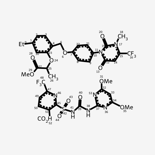 CCc1ccc(COc2ccc(-n3c(=O)cc(C(F)(F)F)n(C)c3=O)cc2)c(OC(C)C(=O)OC)c1.COc1cc(OC)nc(NC(=O)NS(=O)(=O)c2nc(C(F)(F)F)ccc2C(=O)O)n1